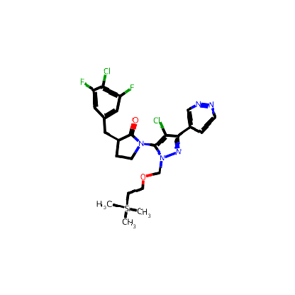 C[Si](C)(C)CCOCn1nc(-c2ccnnc2)c(Cl)c1N1CCC(Cc2cc(F)c(Cl)c(F)c2)C1=O